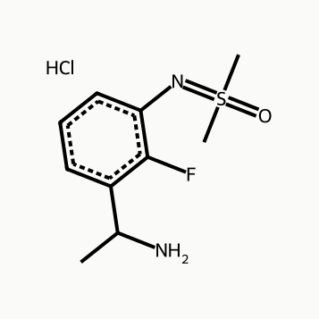 CC(N)c1cccc(N=S(C)(C)=O)c1F.Cl